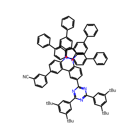 CC(C)(C)c1cc(-c2nc(-c3cc(C(C)(C)C)cc(C(C)(C)C)c3)nc(-c3ccc(-n4c5ccc(-c6ccccc6)cc5c5cc(-c6ccccc6)ccc54)c(-c4cc(-c5cccc(C#N)c5)ccc4-n4c5ccc(-c6ccccc6)cc5c5cc(-c6ccccc6)ccc54)c3)n2)cc(C(C)(C)C)c1